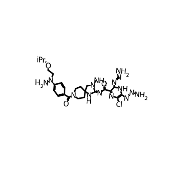 CC(C)OCCN(N)c1ccc(C(=O)N2CCC3(CC2)CN(N)/C(=N\C(=O)C2=NC(Cl)=C(N=NN)NC2N=NN)N3)cc1